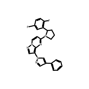 Fc1ccc(F)c(C2CCCN2c2ccn3ncc(-n4cc(-c5ccccc5)cn4)c3n2)c1